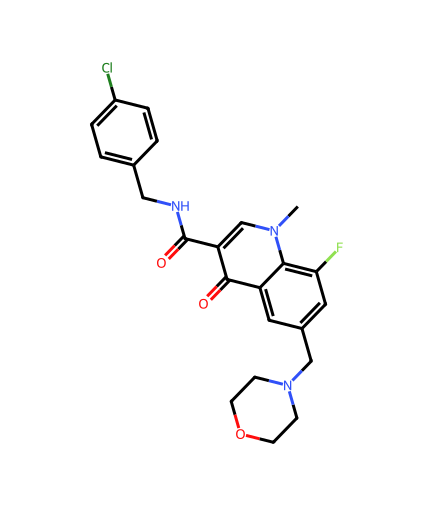 Cn1cc(C(=O)NCc2ccc(Cl)cc2)c(=O)c2cc(CN3CCOCC3)cc(F)c21